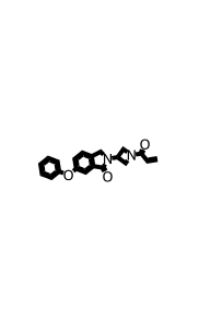 C=CC(=O)N1CC(N2Cc3ccc(Oc4ccccc4)cc3C2=O)C1